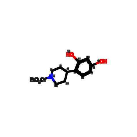 CCOC(=O)N1CCC(c2ccc(O)cc2O)CC1